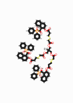 CCC(COC(=O)CSCCC(=O)Oc1ccc2ccccc2c1C(=O)P(=O)(c1ccccc1)c1ccccc1)(COC(=O)CSCCC(=O)Oc1ccc2ccccc2c1C(=O)P(=O)(c1ccccc1)c1ccccc1)COC(=O)CSCCC(=O)Oc1ccc2ccccc2c1C(=O)P(=O)(c1ccccc1)c1ccccc1